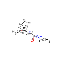 CCNC(=O)/C=C/C1=CCC2CCC1C2CC